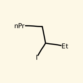 [CH2]CC(I)CCCC